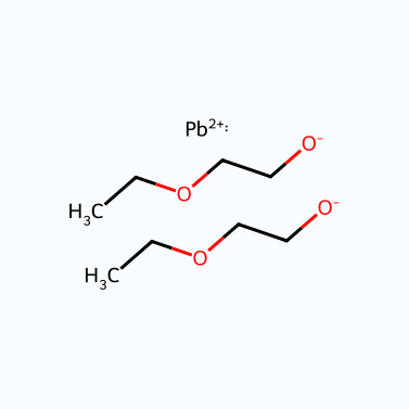 CCOCC[O-].CCOCC[O-].[Pb+2]